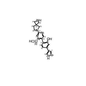 Cl.Cl.Oc1cc(-c2cn[nH]c2)ccc1-c1cnc(N2CCC3(CNC3)C2)nn1